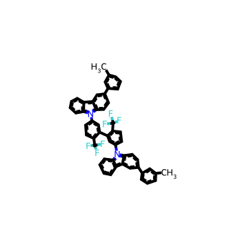 Cc1cccc(-c2ccc3c(c2)c2ccccc2n3-c2ccc(C(F)(F)F)c(-c3cc(-n4c5ccccc5c5cc(-c6cccc(C)c6)ccc54)ccc3C(F)(F)F)c2)c1